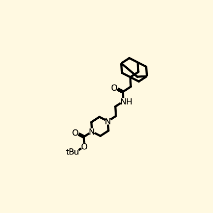 CC(C)(C)OC(=O)N1CCN(CCNC(=O)CC23CC4CC(CC(C4)C2)C3)CC1